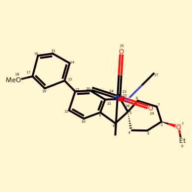 CCO[C@H]1CC[C@]2(CC1)Cc1ccc(-c3cccc(OC)c3)cc1C21NC(=O)N(C)C1=O